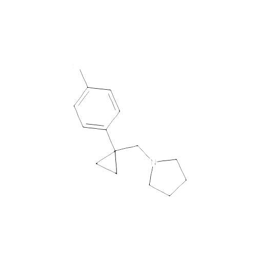 Clc1ccc(C2(CN3CCCC3)CC2)cc1